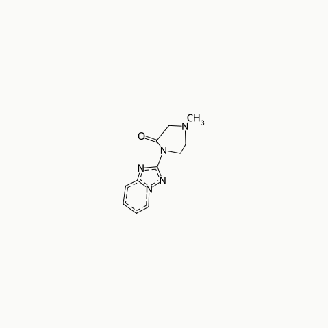 CN1CCN(c2nc3ccccn3n2)C(=O)C1